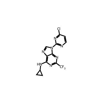 FC(F)(F)c1nc(NC2CC2)c2ncn(-c3nccc(Cl)n3)c2n1